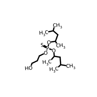 CC(C)CC(C)OP(=S)(OCCCO)OC(C)CC(C)C